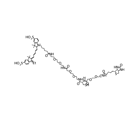 CCN1/C(=C/C=C/C=C/C2=[N+](CCCCCC(=O)NCCOCCOCCNC(=O)COCCOCCNC(=O)[C@H](CS)NC(=O)COCCOCCNC(=O)CCCC[C@@H]3SCC4NC(=O)NC43)c3ccc(S(=O)(=O)O)cc3C2(C)C)C(C)(C)c2cc(S(=O)(=O)O)ccc21